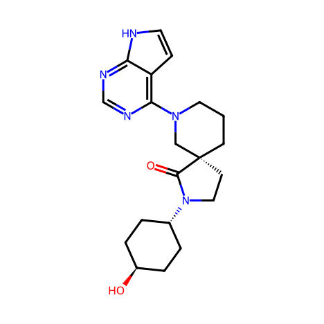 O=C1N([C@H]2CC[C@H](O)CC2)CC[C@]12CCCN(c1ncnc3[nH]ccc13)C2